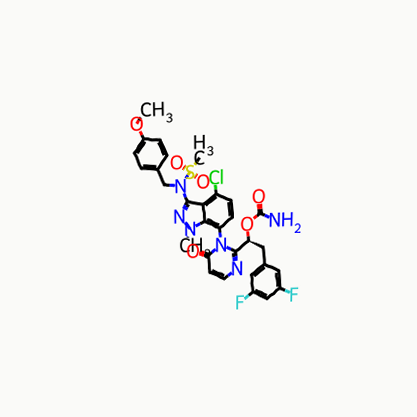 COc1ccc(CN(c2nn(C)c3c(-n4c([C@H](Cc5cc(F)cc(F)c5)OC(N)=O)nccc4=O)ccc(Cl)c23)S(C)(=O)=O)cc1